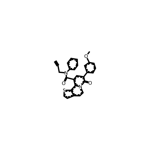 C#CCN(C(=O)c1cc(-c2cccc(OC)c2)c(=O)n2ccc3ccsc3c12)c1ccccc1